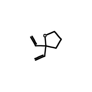 C=CC1(C=C)CCCO1